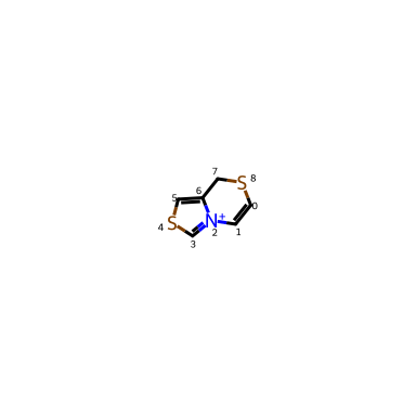 C1=C[n+]2cscc2CS1